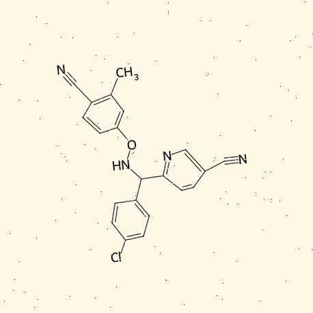 Cc1cc(ONC(c2ccc(Cl)cc2)c2ccc(C#N)cn2)ccc1C#N